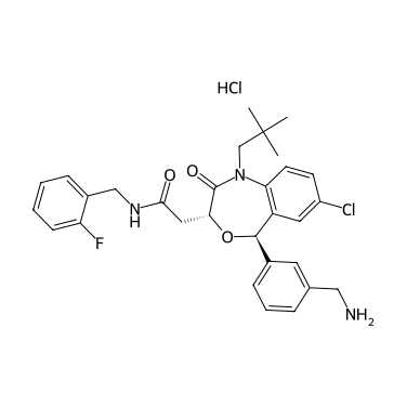 CC(C)(C)CN1C(=O)[C@@H](CC(=O)NCc2ccccc2F)O[C@H](c2cccc(CN)c2)c2cc(Cl)ccc21.Cl